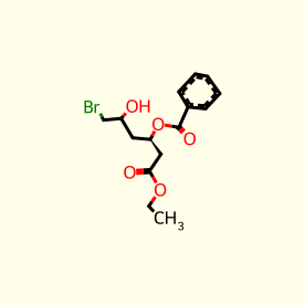 CCOC(=O)C[C@@H](CC(O)CBr)OC(=O)c1ccccc1